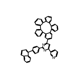 c1cncc(-c2cc(-c3ccc4c5ccccc5c5ccccc5c5ccccc5c5ccccc5c4c3)nc(-c3ccc(-c4cccc5ccccc45)cc3)n2)c1